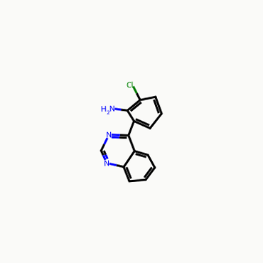 Nc1c(Cl)cccc1-c1ncnc2ccccc12